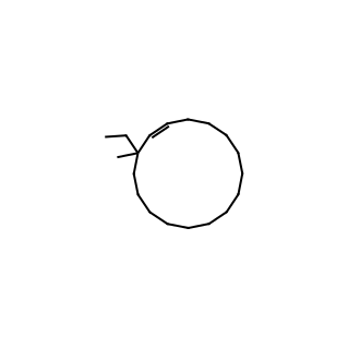 CCC1(C)C=CCCCCCCCCCCCCC1